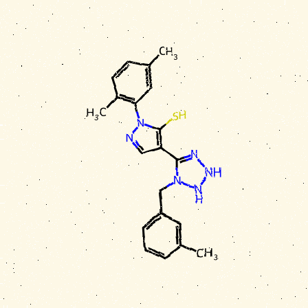 Cc1cccc(CN2NNN=C2c2cnn(-c3cc(C)ccc3C)c2S)c1